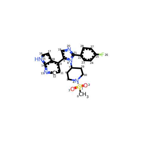 CS(=O)(=O)N1CCC(n2c(-c3ccnc4[nH]ccc34)cnc2-c2ccc(F)cc2)CC1